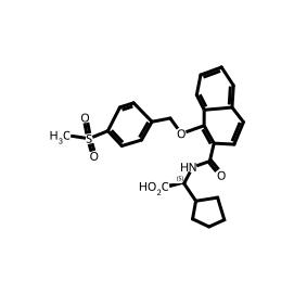 CS(=O)(=O)c1ccc(COc2c(C(=O)N[C@H](C(=O)O)C3CCCC3)ccc3ccccc23)cc1